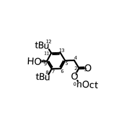 CCCCCCCCOC(=O)Cc1cc(C(C)(C)C)c(O)c(C(C)(C)C)c1